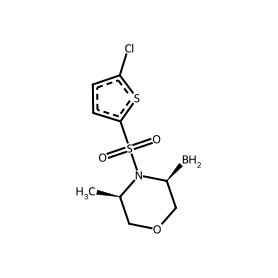 B[C@H]1COC[C@@H](C)N1S(=O)(=O)c1ccc(Cl)s1